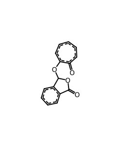 O=C1OC(Oc2cccccc2=O)c2ccccc21